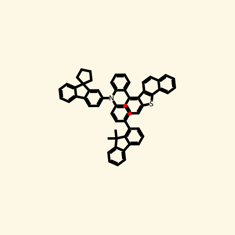 CC1(C)c2ccccc2-c2cccc(-c3ccc(N(c4ccc5c(c4)C4(CCCC4)c4ccccc4-5)c4ccccc4-c4cccc5sc6c7ccccc7ccc6c45)cc3)c21